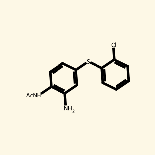 CC(=O)Nc1ccc(Sc2ccccc2Cl)cc1N